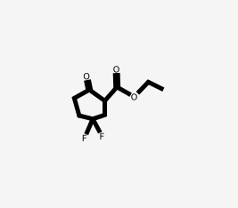 CCOC(=O)C1CC(F)(F)CCC1=O